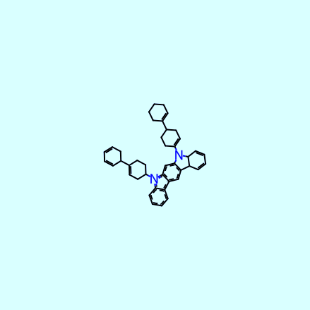 C1=CCC(C2=CCC(n3c4ccccc4c4cc5c(cc43)N(C3=CCC(C4=CCCCC4)CC3)C3C=CC=CC53)CC2)C=C1